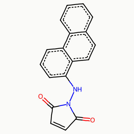 O=C1C=CC(=O)N1Nc1cccc2c1ccc1ccccc12